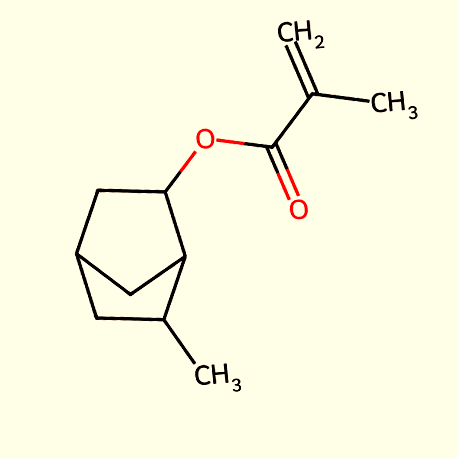 C=C(C)C(=O)OC1CC2CC(C)C1C2